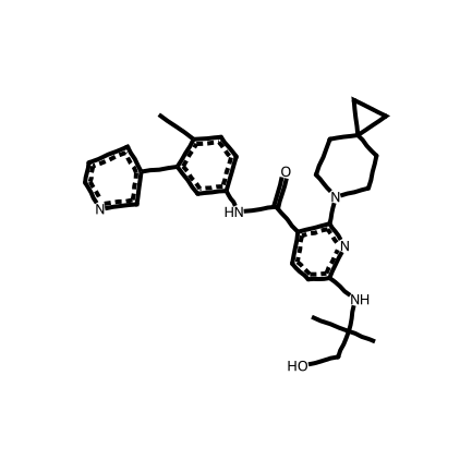 Cc1ccc(NC(=O)c2ccc(NC(C)(C)CO)nc2N2CCC3(CC2)CC3)cc1-c1cccnc1